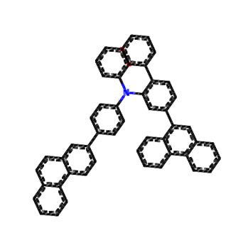 c1ccc(-c2ccc(-c3cc4ccccc4c4ccccc34)cc2N(c2ccccc2)c2ccc(-c3ccc4c(ccc5ccccc54)c3)cc2)cc1